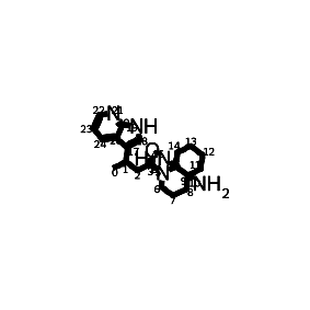 CC(CC(=O)N1CCCC2(N)CCCCC12N)c1c[nH]c2ncccc12